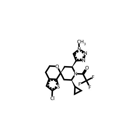 Cn1cc([C@@H]2C[C@]3(C[C@H](C4CC4)N2C(=O)C(F)(F)F)OCCc2cc(Cl)sc23)nn1